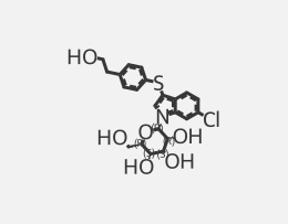 OCCc1ccc(Sc2cn([C@@H]3O[C@H](CO)[C@@H](O)[C@H](O)[C@H]3O)c3cc(Cl)ccc23)cc1